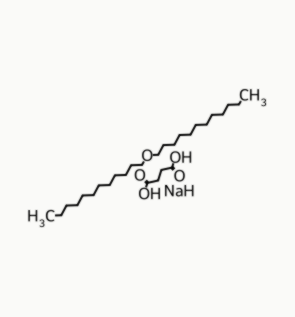 CCCCCCCCCCCCOCCCCCCCCCCCC.O=C(O)CCC(=O)O.[NaH]